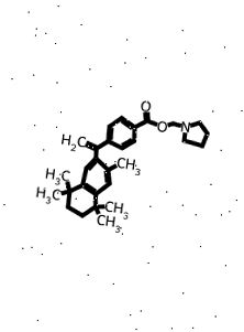 C=C(c1ccc(C(=O)OCN2CCCC2)cc1)c1cc2c(cc1C)C(C)(C)CCC2(C)C